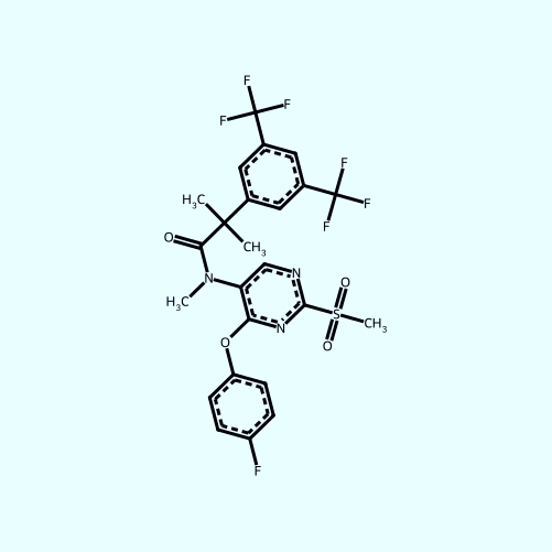 CN(C(=O)C(C)(C)c1cc(C(F)(F)F)cc(C(F)(F)F)c1)c1cnc(S(C)(=O)=O)nc1Oc1ccc(F)cc1